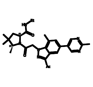 CCNC(=O)[C@@H]1CC(C)(C)[C@@H](C)N1C(=O)Cn1nc(C(C)=O)c2cc(-c3cnc(C)nc3)cc(C)c21